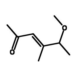 COC(C)C(C)=CC(C)=O